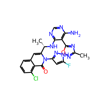 Cc1noc(-c2c(N)ncnc2N[C@@H](C)c2cc3cccc(Cl)c3c(=O)n2-c2cc(F)[nH]n2)n1